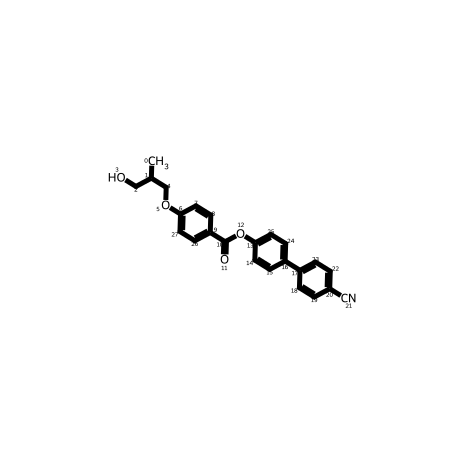 CC(CO)COc1ccc(C(=O)Oc2ccc(-c3ccc(C#N)cc3)cc2)cc1